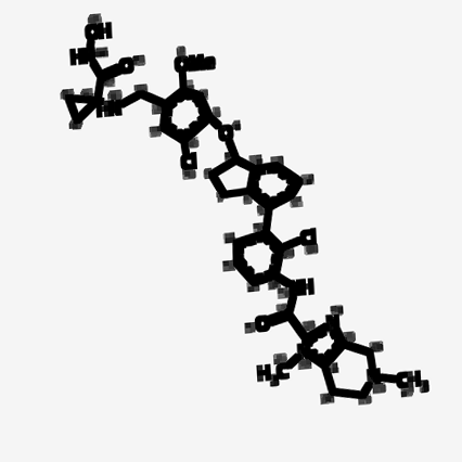 COc1cc(OC2CCc3c(-c4cccc(NC(=O)c5nc6c(n5C)CCN(C)C6)c4Cl)cccc32)c(Cl)cc1CNC1(C(=O)NO)CC1